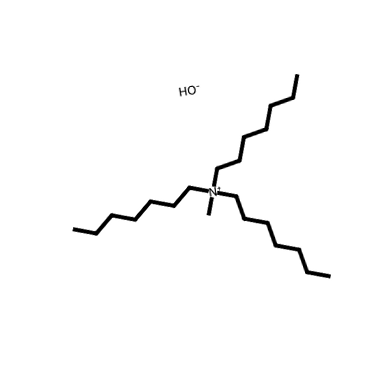 CCCCCCC[N+](C)(CCCCCCC)CCCCCCC.[OH-]